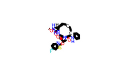 CONC(=O)[C@@]12C[C@H]1/C=C\CCCCC[C@H](Nc1ccccc1)C(=O)N1C[C@H](Oc3nc4ccc(F)cc4s3)C[C@H]1C(=O)N2